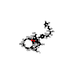 CC[C@H](C)[C@@H]1NC(=O)CNC(=O)[C@@H]2Cc3c([nH]c4cc(OCc5ccc(NC(=O)[C@H](C)NC(=O)[C@@H](NC(=O)CCN6C(=O)CC(C)C6=O)C(C)C)cc5)ccc34)[S+]([O-])C[C@H](NC(=O)CNC1=O)C(=O)N[C@@H](CC(N)=O)C(=O)N1C[C@H](O)C[C@H]1C(=O)N[C@@H]([C@@H](C)[C@@H](O)CO)C(=O)N2